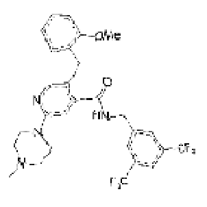 COc1ccccc1Cc1cnc(N2CCN(C)CC2)cc1C(=O)NCc1cc(C(F)(F)F)cc(C(F)(F)F)c1